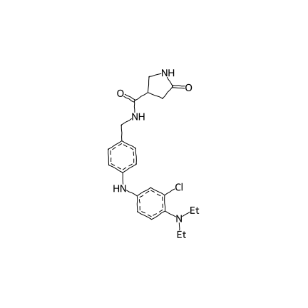 CCN(CC)c1ccc(Nc2ccc(CNC(=O)C3CNC(=O)C3)cc2)cc1Cl